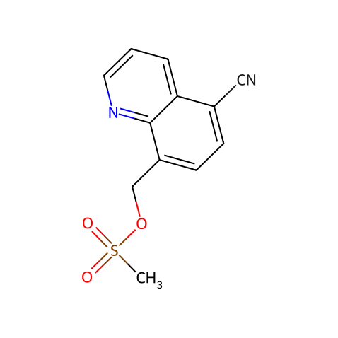 CS(=O)(=O)OCc1ccc(C#N)c2cccnc12